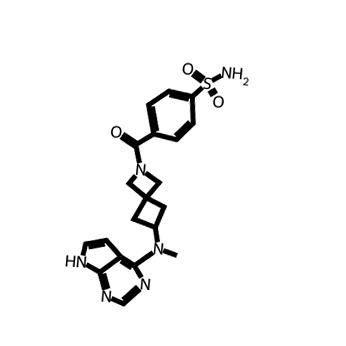 CN(c1ncnc2[nH]ccc12)C1CC2(C1)CN(C(=O)c1ccc(S(N)(=O)=O)cc1)C2